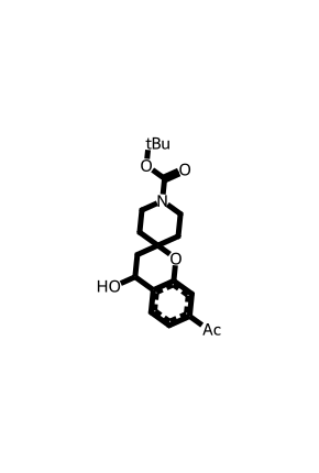 CC(=O)c1ccc2c(c1)OC1(CCN(C(=O)OC(C)(C)C)CC1)CC2O